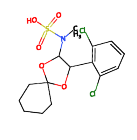 CN(C1OC2(CCCCC2)OC1c1c(Cl)cccc1Cl)S(=O)(=O)O